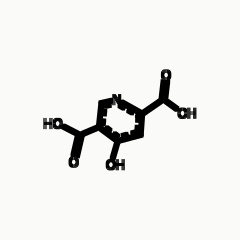 O=C(O)c1cc(O)c(C(=O)O)cn1